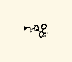 O=C1NCCN(c2ccnc(NCC3CC3)n2)C1c1ccccc1